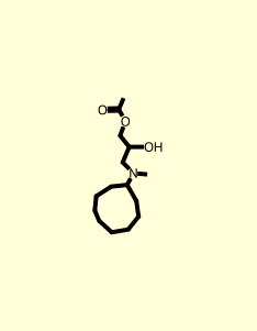 CC(=O)OCC(O)CN(C)C1CCCCCCCC1